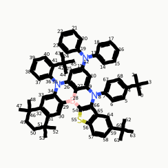 CC(C)(C)c1ccc(N2c3cc(N(c4ccccc4)c4ccccc4)cc4c3B(c3cc5c(cc3N4c3ccccc3C(C)(C)C)C(C)(C)CCC5(C)C)c3sc4ccc(C(C)(C)C)cc4c32)cc1